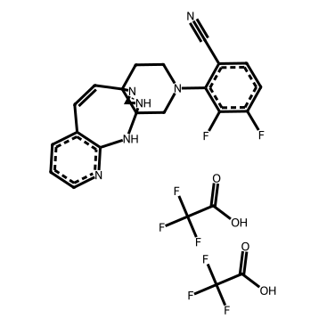 N#Cc1ccc(F)c(F)c1N1CCC23C=Cc4cccnc4NC2(C1)NC=N3.O=C(O)C(F)(F)F.O=C(O)C(F)(F)F